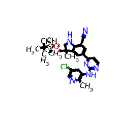 Cc1ncc(Cl)cc1Nc1nccc(-c2cc(C#N)c3c(c2)C(C)(CO[Si](C)(C)C(C)(C)C)CN3)n1